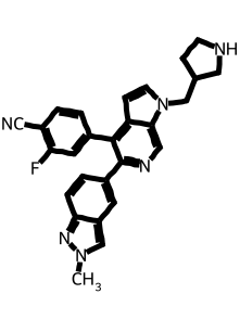 Cn1cc2cc(-c3ncc4c(ccn4CC4CCNC4)c3-c3ccc(C#N)c(F)c3)ccc2n1